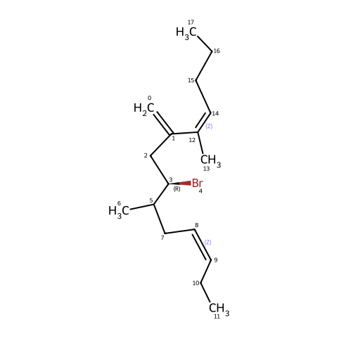 C=C(C[C@@H](Br)C(C)C/C=C\CC)/C(C)=C\CCC